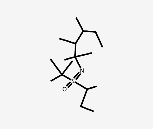 CCC(C)C(C)C(C)(C)N=S(=O)(C(C)CC)C(C)(C)C